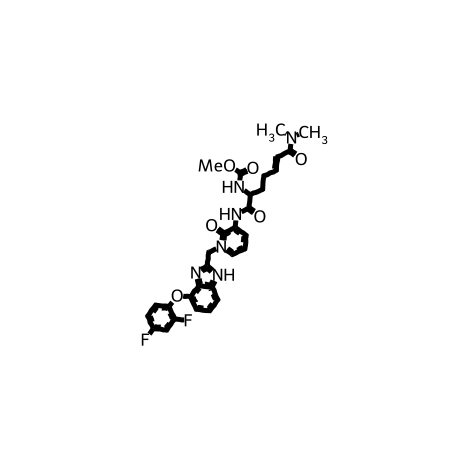 COC(=O)NC(CCC=CC(=O)N(C)C)C(=O)Nc1cccn(Cc2nc3c(Oc4ccc(F)cc4F)cccc3[nH]2)c1=O